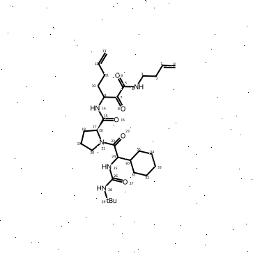 C=CCCNC(=O)C(=O)C(CCC=C)NC(=O)[C@@H]1CCCN1C(=O)C(NC(=O)NC(C)(C)C)C1CCCCC1